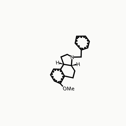 COc1cccc2c1CC[C@@H]1[C@H]2CCN1Cc1ccccc1